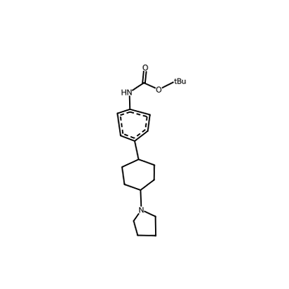 CC(C)(C)OC(=O)Nc1ccc(C2CCC(N3CCCC3)CC2)cc1